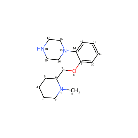 CN1CCCCC1COc1ccccc1N1CCNCC1